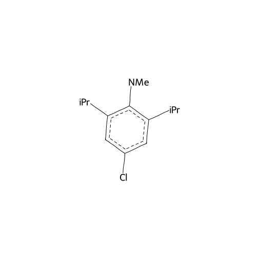 CNc1c(C(C)C)cc(Cl)cc1C(C)C